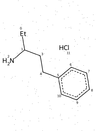 CCC(N)CCc1ccccc1.Cl